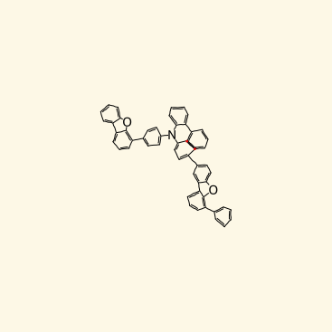 c1ccc(-c2ccccc2N(c2ccc(-c3ccc4oc5c(-c6ccccc6)cccc5c4c3)cc2)c2ccc(-c3cccc4c3oc3ccccc34)cc2)cc1